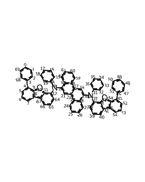 c1ccc(-c2cccc3c2oc2c(N(c4ccccc4)c4cc5c6ccccc6c(N(c6ccccc6)c6cccc7c6oc6c(-c8ccccc8)cccc67)cc5c5ccccc45)cccc23)cc1